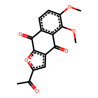 COc1ccc2c(c1OC)C(=O)c1cc(C(C)=O)oc1C2=O